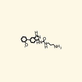 COc1ccccc1-c1ccc2c(NC(=O)NCCCN)n[nH]c2c1